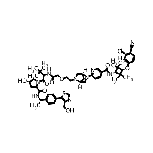 C[C@H](NC(=O)C1C[C@@H](O)CN1C(=O)C(NC(=O)COCCN1C[C@@H]2C[C@H]1CN2c1ccc(C(=O)N[C@H]2C(C)(C)[C@H](Oc3ccc(C#N)c(Cl)c3)C2(C)C)cn1)C(C)(C)C)c1ccc(-c2scnc2CO)cc1